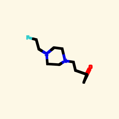 CC(=O)CCN1CCN(CCF)CC1